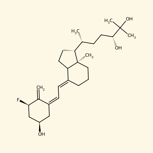 C=C1/C(=C\C=C2CCC[C@@]3(C)C2CC[C@@H]3[C@H](C)CC[C@@H](O)C(C)(C)O)C[C@@H](O)C[C@H]1F